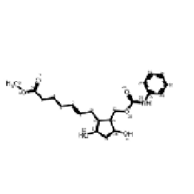 COC(=O)CCC/C=C/CC1C(O)CC(O)C1COC(=O)Nc1ccccc1